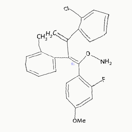 C=C(/C(=C(\ON)c1ccc(OC)cc1F)c1ccccc1C)c1ccccc1Cl